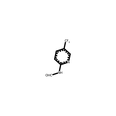 O=CNc1ccc(C(F)(F)F)cn1